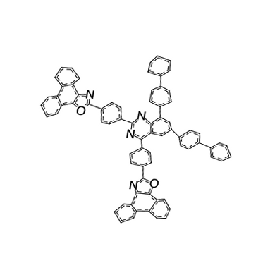 c1ccc(-c2ccc(-c3cc(-c4ccc(-c5ccccc5)cc4)c4nc(-c5ccc(-c6nc7c8ccccc8c8ccccc8c7o6)cc5)nc(-c5ccc(-c6nc7c8ccccc8c8ccccc8c7o6)cc5)c4c3)cc2)cc1